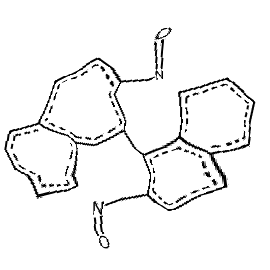 O=Nc1ccc2ccccc2c1-c1c(N=O)ccc2ccccc12